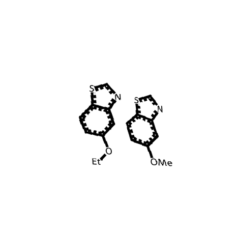 CCOc1ccc2scnc2c1.COc1ccc2scnc2c1